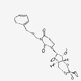 CO[C@@H]1[C@@H]2O[P@@](=O)(Cl)OC[C@H]2O[C@H]1n1ccc(=O)n(COCc2ccccc2)c1=O